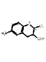 Nc1ccc2c(c1)CC(C(=O)O)C(C(F)(F)F)O2